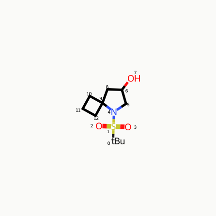 CC(C)(C)S(=O)(=O)N1CC(O)CC12CCC2